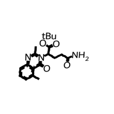 Cc1cccc2nc(C)n(C(CCC(N)=O)C(=O)OC(C)(C)C)c(=O)c12